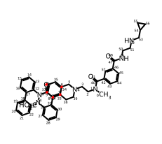 CN(CCN1CCC(OC(=O)N(c2ccccc2-c2ccccc2)N(C(=O)O)c2ccccc2-c2ccccc2)CC1)C(=O)c1cccc(C(=O)NCCNCC2CC2)c1